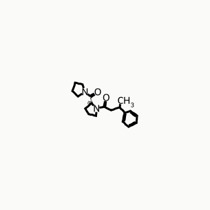 CC(CC(=O)N1CCC[C@@H]1C(=O)N1CCCC1)c1ccccc1